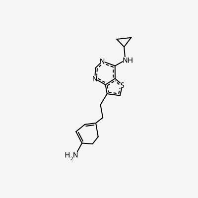 NC1=CC=C(CCc2csc3c(NC4CC4)ncnc23)CC1